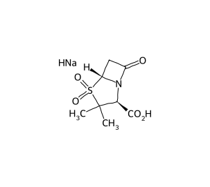 CC1(C)[C@H](C(=O)O)N2C(=O)C[C@H]2S1(=O)=O.[NaH]